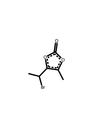 Cc1oc(=O)oc1C(C)Br